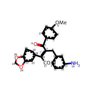 COc1ccc(C(=O)/C(Cc2cccc(N)c2)=C(/C(=O)O)c2ccc3c(c2)OCO3)cc1